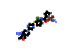 C[C@@H]1OCC2(CCN(c3cnc(Sc4cccc(NC(=O)C5CCCN5S(N)(=O)=O)c4Cl)cn3)CC2)[C@@H]1N